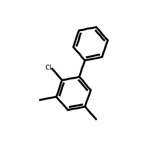 Cc1cc(C)c(Cl)c(-c2ccccc2)c1